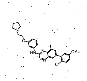 CC(=O)Oc1ccc(Cl)c(-c2cc(C)c3nc(Nc4cccc(OCCN5CCCC5)c4)nnc3c2)c1